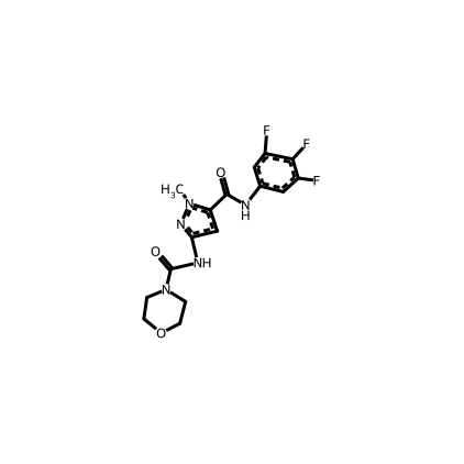 Cn1nc(NC(=O)N2CCOCC2)cc1C(=O)Nc1cc(F)c(F)c(F)c1